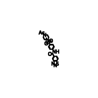 CC(=O)N1CCN(S(=O)(=O)c2ccc(NC(=O)c3ccc4snnc4c3)cc2)CC1